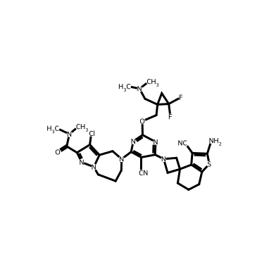 CN(C)CC1(COc2nc(N3CCCn4nc(C(=O)N(C)C)c(Cl)c4C3)c(C#N)c(N3CC4(CCCc5sc(N)c(C#N)c54)C3)n2)CC1(F)F